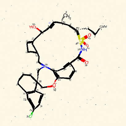 COCC[C@H]1C[C@@H](C)/C=C/C(O)C2CCC2CN2C[C@@]3(CCCc4cc(Cl)ccc43)COc3ccc(cc32)C(=O)NS1(=O)=O